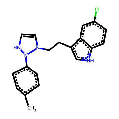 Cc1ccc(N2NC=CN2CCc2c[nH]c3ccc(Cl)cc23)cc1